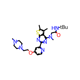 Cc1sc2nc(-c3cc(OCCN4CCN(C)CC4)ccn3)nc(N(C)CC(=O)NC(C)(C)C)c2c1C